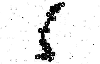 CC(C)C(C(=O)N1CCC2(CC1)Oc1ccc(C#CC(=O)NCCOCCNC(=O)Cn3ccc4cc(C=O)cnc43)cc1O2)c1ccc(Cl)cc1